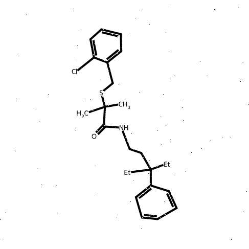 CCC(CC)(CCNC(=O)C(C)(C)SCc1ccccc1Cl)c1ccccc1